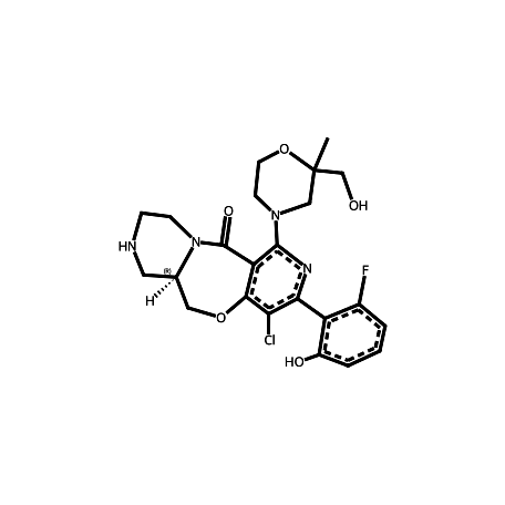 CC1(CO)CN(c2nc(-c3c(O)cccc3F)c(Cl)c3c2C(=O)N2CCNC[C@@H]2CO3)CCO1